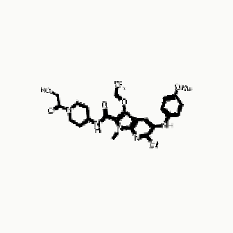 CCc1nc2c(cc1Nc1ccc(OC)cc1)c(OCC(F)(F)F)c(C(=O)NC1CCN(C(=O)CO)CC1)n2C